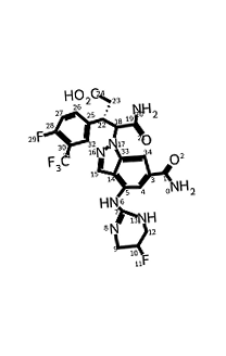 NC(=O)c1cc(NC2=NCC(F)CN2)c2cnn(C(C(N)=O)[C@@H](CC(=O)O)c3ccc(F)c(C(F)(F)F)c3)c2c1